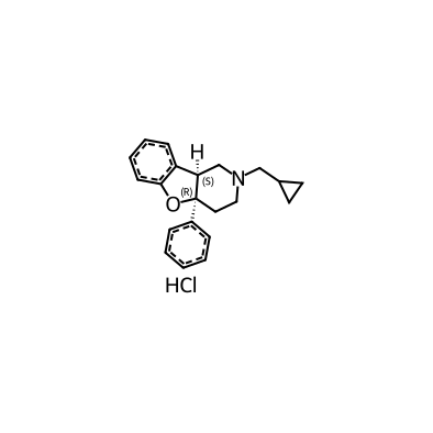 Cl.c1ccc([C@@]23CCN(CC4CC4)C[C@@H]2c2ccccc2O3)cc1